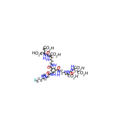 O=C(O)CCC(NC(=O)N[C@@H](CCCCNC(=O)c1cc(NC(=O)Cn2cc(CCCF)nn2)cc(C(=O)NCCCC[C@H](NC(=O)N[C@@H](CCC(=O)O)C(=O)O)C(=O)O)c1)C(=O)O)C(=O)O